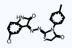 Cc1ccc(N2C(=O)CSC2=NN=C2C(=O)Nc3ccc(Cl)cc32)cc1